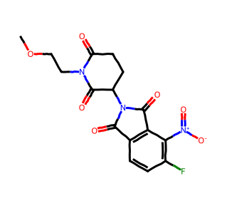 COCCN1C(=O)CCC(N2C(=O)c3ccc(F)c([N+](=O)[O-])c3C2=O)C1=O